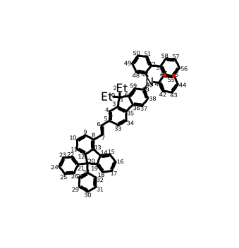 CCC1(CC)c2cc(/C=C/c3cccc4c3-c3ccccc3C4(c3ccccc3)c3ccccc3)ccc2-c2ccc(N(c3ccccc3)c3ccccc3-c3ccccc3)cc21